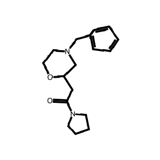 O=C(CC1CN(Cc2ccccc2)CCO1)N1CCCC1